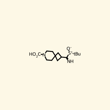 CC(C)(C)[S@@+]([O-])C(=N)C1CC2(CCN(C(=O)O)CC2)C1